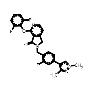 Cc1nn(C)cc1-c1ccc(CN2Cc3ccnc(Oc4c(F)cccc4F)c3C2=O)c(F)c1